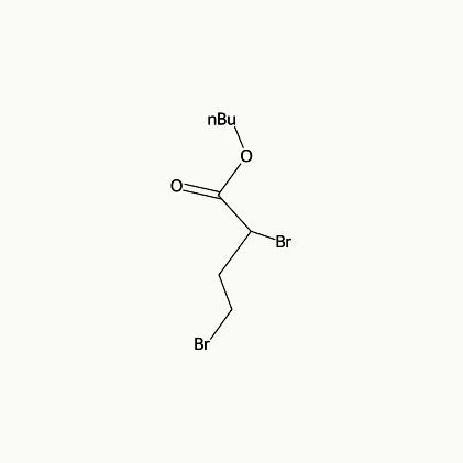 CCCCOC(=O)C(Br)CCBr